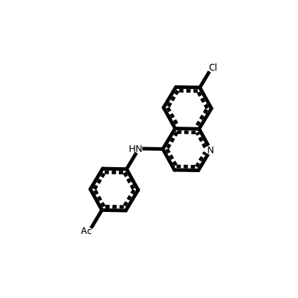 CC(=O)c1ccc(Nc2ccnc3cc(Cl)ccc23)cc1